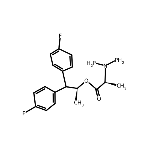 C[C@H](OC(=O)[C@H](C)N(P)P)C(c1ccc(F)cc1)c1ccc(F)cc1